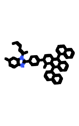 C/C=C\C=C(/C)n1c(C2C=CC(C3C=Cc4c(c(-c5cccc6ccccc56)c5ccccc5c4-c4cccc5ccccc45)C3C)=CC2)nc2c1CC(C)C=C2